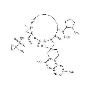 COc1ccc2nc(C)c3c(c2c1)CC[C@]1(C[C@H]2C(=O)N[C@]4(C(=O)NS(=O)(=O)C5(C)CC5)C[C@H]4/C=C\CCCCC[C@H](N(C(=O)O)C4CCCC4C)C(=O)N2C1)O3